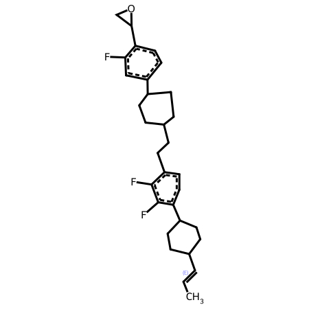 C/C=C/C1CCC(c2ccc(CCC3CCC(c4ccc(C5CO5)c(F)c4)CC3)c(F)c2F)CC1